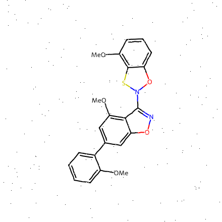 COc1ccccc1-c1cc(OC)c2c(N3Oc4cccc(OC)c4S3)noc2c1